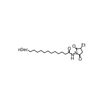 CCCCCCCCCCCCCCCCCCCCCC(=O)NN1C(=O)CC(CC)C1=O